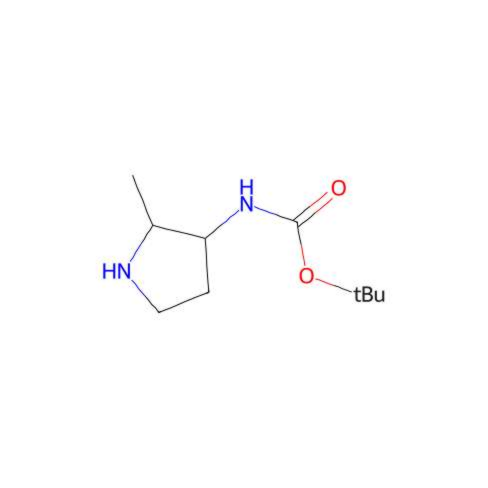 CC1NCCC1NC(=O)OC(C)(C)C